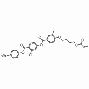 C=CC(=O)OCCCCOc1ccc(C(=O)Oc2ccc(C(=O)Oc3ccc(CCCC)cc3)c(Cl)c2)cc1C